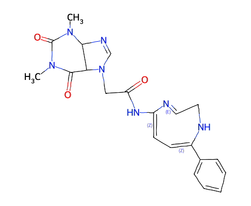 CN1C(=O)C2C(N=CN2CC(=O)NC2=C/C=C(/c3ccccc3)NC\C=N\2)N(C)C1=O